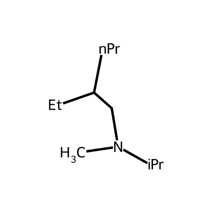 CCCC(CC)CN(C)C(C)C